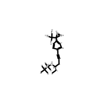 CC[C@H](CC#Cc1ccc(C2(C(F)(F)F)N=N2)cc1)O[Si](C)(C)C(C)(C)C